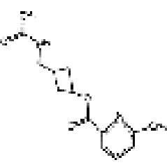 CC(=O)NCC1CC(OC(=O)c2cccc(C)n2)C1